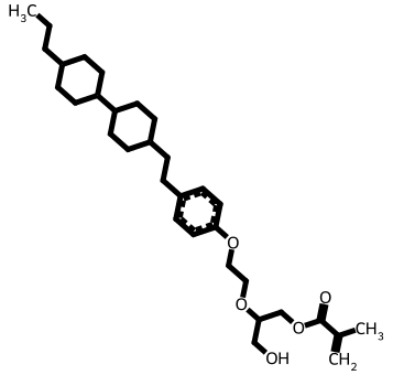 C=C(C)C(=O)OCC(CO)OCCOc1ccc(CCC2CCC(C3CCC(CCC)CC3)CC2)cc1